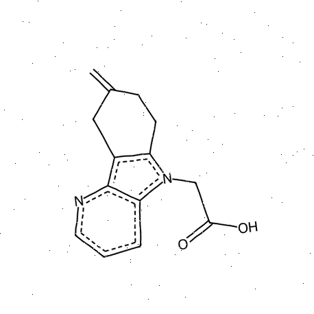 C=C1CCc2c(c3ncccc3n2CC(=O)O)C1